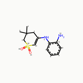 CC1(C)CC(Nc2ccccc2N)=CS(=O)(=O)C1